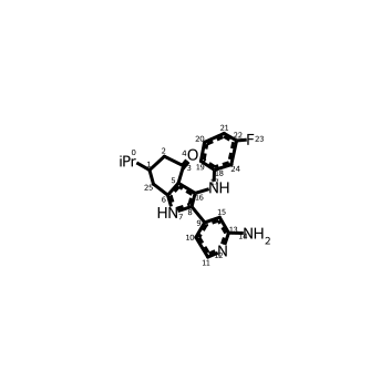 CC(C)C1CC(=O)c2c([nH]c(-c3ccnc(N)c3)c2Nc2cccc(F)c2)C1